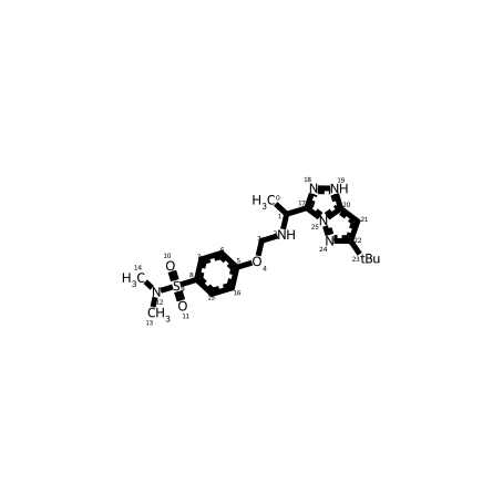 CC(NCOc1ccc(S(=O)(=O)N(C)C)cc1)c1n[nH]c2cc(C(C)(C)C)nn12